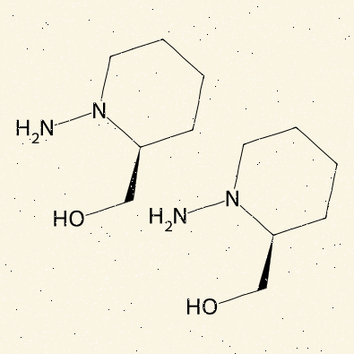 NN1CCCC[C@H]1CO.NN1CCCC[C@H]1CO